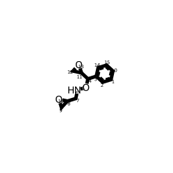 c1ccc(C(ONCC2CO2)C2CO2)cc1